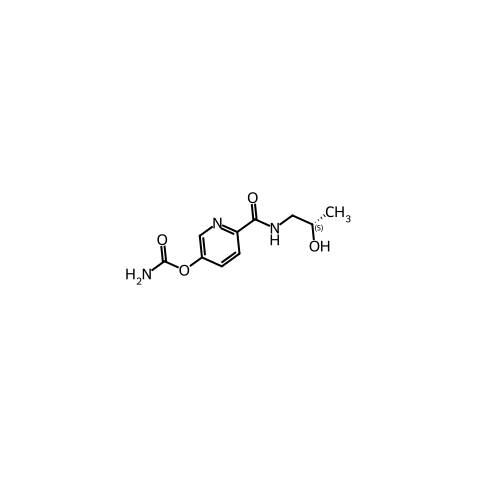 C[C@H](O)CNC(=O)c1ccc(OC(N)=O)cn1